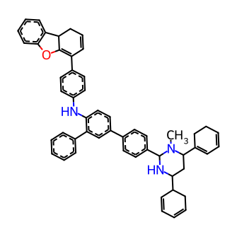 CN1C(C2=CC=CCC2)CC(C2C=CC=CC2)NC1c1ccc(-c2ccc(Nc3ccc(C4=C5Oc6ccccc6C5CC=C4)cc3)c(-c3ccccc3)c2)cc1